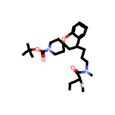 CCC(CC)C(=O)N(C)CCCC1CC2(CCN(C(=O)OC(C)(C)C)CC2)Oc2ccccc21